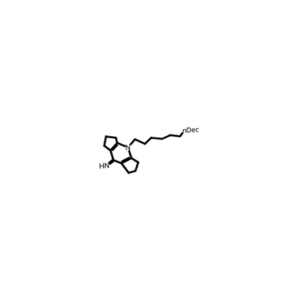 CCCCCCCCCCCCCCCCn1c2c(c(=N)c3c1CCC3)CCC2